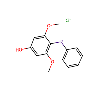 COc1cc(O)cc(OC)c1[I+]c1ccccc1.[Cl-]